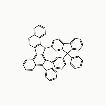 c1ccc(C2(c3ccccc3)c3ccccc3-c3ccc(-n4c5c6ccccc6ccc5c5c6ccccc6c6c7ccccc7oc6c54)cc32)cc1